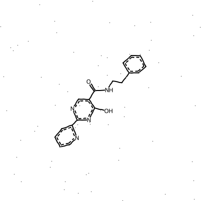 O=C(NCCc1cc[c]cc1)c1cnc(-c2ccccn2)nc1O